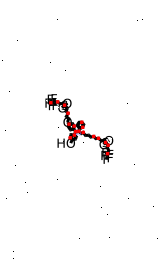 O=S(=O)(CCCCCCCCCC/C(=C(\c1ccc(O)cc1)c1ccc(OCCCCCS(=O)(=O)CCCC(F)(F)C(F)(F)F)cc1)c1ccccc1)CCCC(F)(F)C(F)(F)F